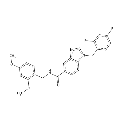 COc1ccc(CNC(=O)c2ccc3c(c2)ncn3Cc2ccc(F)cc2F)c(OC)c1